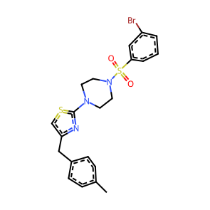 Cc1ccc(Cc2csc(N3CCN(S(=O)(=O)c4cccc(Br)c4)CC3)n2)cc1